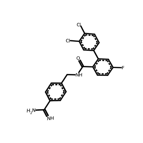 N=C(N)c1ccc(CNC(=O)c2ccc(F)cc2-c2ccc(Cl)c(Cl)c2)cc1